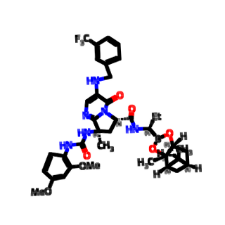 CC[C@H](NC(=O)[C@@H]1C[C@@](C)(NC(=O)Nc2ccc(OC)cc2OC)c2ncc(NCc3cccc(C(F)(F)F)c3)c(=O)n21)B1O[C@@H]2C[C@@H]3C[C@@H](C3(C)C)[C@]2(C)O1